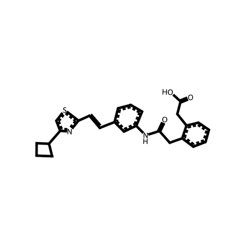 O=C(O)Cc1ccccc1CC(=O)Nc1cccc(C=Cc2nc(C3CCC3)cs2)c1